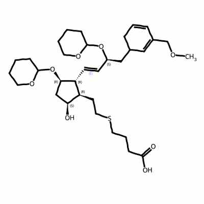 COCC1=CC(C[C@@H](/C=C/[C@@H]2[C@@H](CCSCCCC(=O)O)[C@@H](O)C[C@H]2OC2CCCCO2)OC2CCCCO2)CC=C1